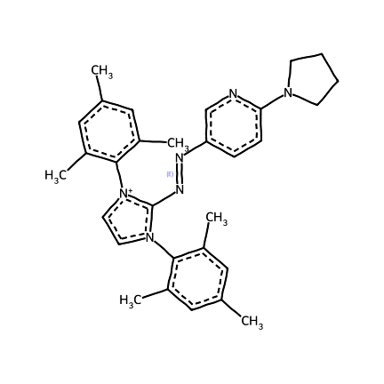 Cc1cc(C)c(-n2cc[n+](-c3c(C)cc(C)cc3C)c2/N=N/c2ccc(N3CCCC3)nc2)c(C)c1